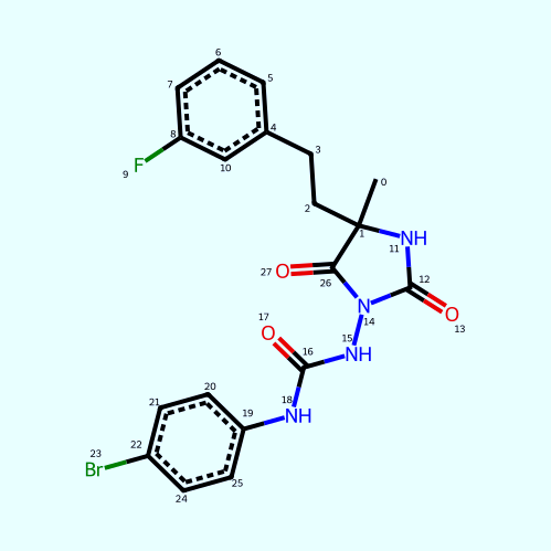 CC1(CCc2cccc(F)c2)NC(=O)N(NC(=O)Nc2ccc(Br)cc2)C1=O